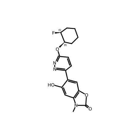 Cn1c(=O)oc2cc(-c3ccc(O[C@@H]4CCCC[C@@H]4F)nn3)c(O)cc21